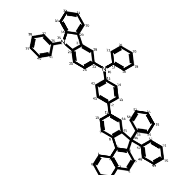 C1=Cc2c(ccc3c2-c2ccc(-c4ccc(N(c5ccccc5)c5ccc6c(c5)c5ccccc5n6-c5ccccc5)cc4)cc2C3(c2ccccc2)c2ccccc2)CC1